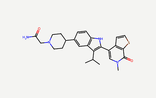 CC(C)c1c(-c2cn(C)c(=O)c3sccc23)[nH]c2ccc(C3CCN(CC(N)=O)CC3)cc12